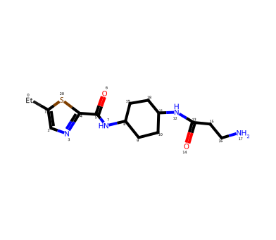 CCc1cnc(C(=O)NC2CCC(NC(=O)CCN)CC2)s1